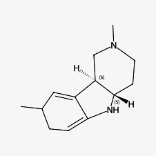 CC1C=C2C(=CC1)N[C@H]1CCN(C)C[C@H]21